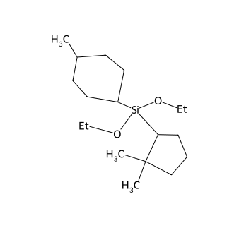 CCO[Si](OCC)(C1CCC(C)CC1)C1CCCC1(C)C